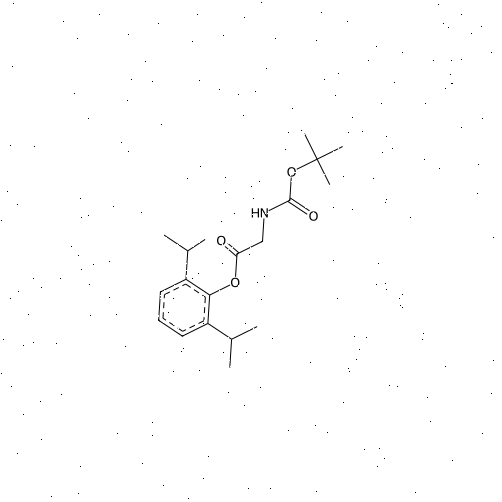 CC(C)c1cccc(C(C)C)c1OC(=O)CNC(=O)OC(C)(C)C